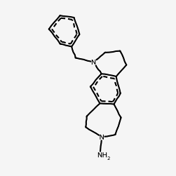 NN1CCc2cc3c(cc2CC1)N(Cc1ccccc1)CCC3